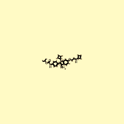 CC(C)OC(=O)Nc1ccc(-c2c(N)c3ccc(OCCNC4CCC4)cc3n2C2CCC2)cc1